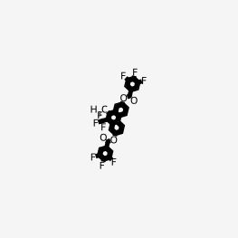 Cc1c(C(F)(F)F)c2cc(OC(=O)c3cc(F)c(F)c(F)c3)ccc2c2ccc(OC(=O)c3cc(F)c(F)c(F)c3)cc12